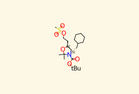 CC(C)(C)OC(=O)N1[C@@H](CC2CCCCC2)[C@H](CCOS(C)(=O)=O)OC1(C)C